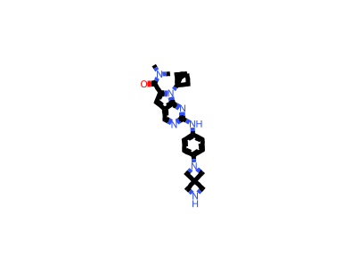 CN(C)C(=O)c1cc2cnc(Nc3ccc(N4CC5(CNC5)C4)cc3)nc2n1C12CC(C1)C2